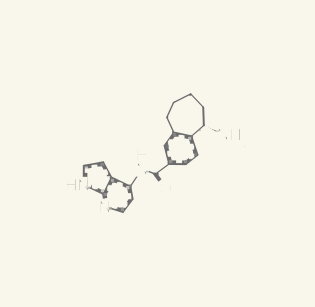 N[C@@H]1CCCCc2cc(C(=O)Nc3ccnc4[nH]ccc34)ccc21